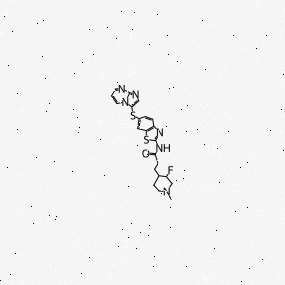 CN1CCC(CCC(=O)Nc2nc3ccc(Sc4cnc5ncccn45)cc3s2)C(F)C1